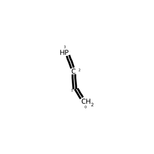 C=C=C=P